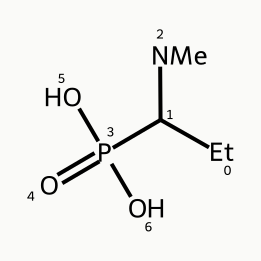 CCC(NC)P(=O)(O)O